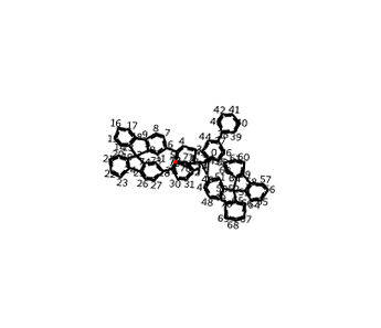 C=Cc1ccc(-c2ccc3c(c2)C2(c4ccccc4-3)c3ccccc3-c3ccc(-c4ccc(N(c5ccc(-c6ccccc6)cc5)c5ccc6c(c5)C5(c7ccccc7-c7ccccc75)c5ccccc5-6)cc4)cc32)cc1